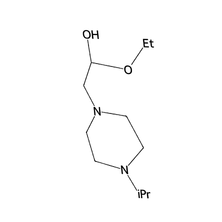 CCOC(O)CN1CCN(C(C)C)CC1